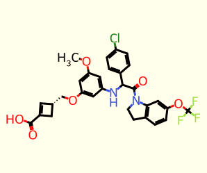 COc1cc(NC(C(=O)N2CCc3ccc(OC(F)(F)F)cc32)c2ccc(Cl)cc2)cc(OC[C@H]2C=C(C(=O)O)C2)c1